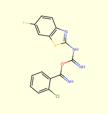 N=C(Nc1nc2ccc(F)cc2s1)OC(=N)c1ccccc1Cl